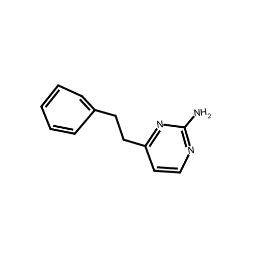 Nc1nccc(CCc2ccccc2)n1